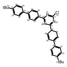 CC(C)(C)c1ccc(C2=CCC(c3nc(Cl)nc(-c4ccc(-c5ccc(C(C)(C)C)cc5)cc4)n3)C=C2)cc1